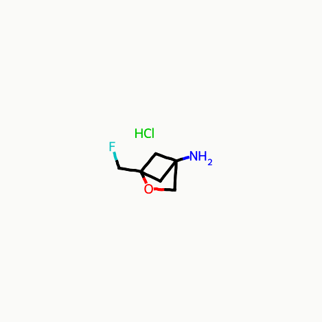 Cl.NC12COC(CF)(C1)C2